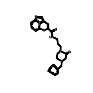 O=C(NCCCN1CCN(Cc2ccccc2)CC1=O)C1=Cc2cnc3cccc(n23)S1